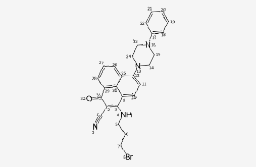 N#CC1=C(NCCCBr)c2ccc(N3CCN(c4ccccc4)CC3)c3cccc(c23)C1=O